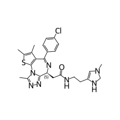 Cc1sc2c(c1C)C(c1ccc(Cl)cc1)=N[C@@H](CC(=O)NCCC1=CN(C)CN1)c1nnc(C)n1-2